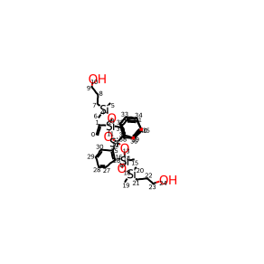 C=C[Si](O[Si](C)(C)CCCO)(O[Si](O[Si](C)(C)O[Si](C)(C)CCCO)(c1ccccc1)c1ccccc1)c1ccccc1